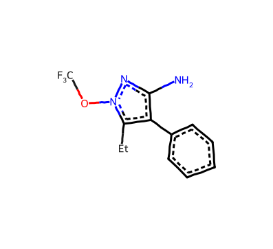 CCc1c(-c2ccccc2)c(N)nn1OC(F)(F)F